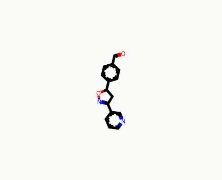 O=Cc1ccc(C2CC(c3cccnc3)=NO2)cc1